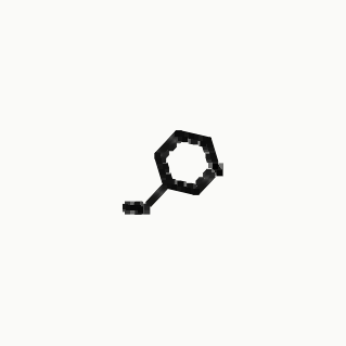 [SnH][c]1cccnc1